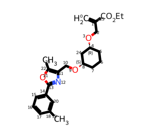 C=C(CO[C@@H]1CCC[C@H](OCc2nc(-c3cccc(C)c3)oc2C)C1)C(=O)OCC